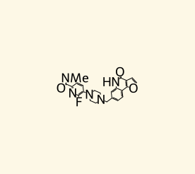 CNC(=O)c1ccc(N2CCN(Cc3ccc4c(c3)[nH]c(=O)c3ccoc34)CC2)c(F)n1